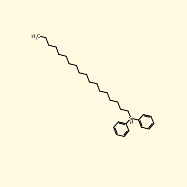 CCCCCCCCCCCCCCCCCC[SiH](c1ccccc1)c1ccccc1